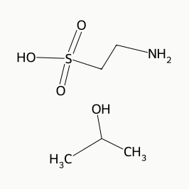 CC(C)O.NCCS(=O)(=O)O